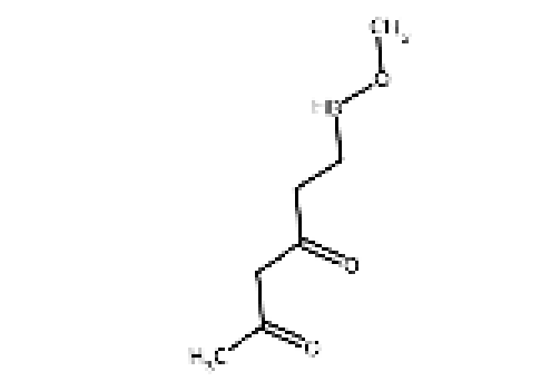 COBCCC(=O)CC(C)=O